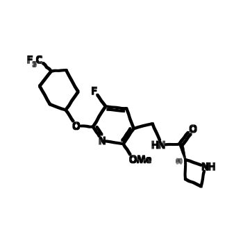 COc1nc(OC2CCC(C(F)(F)F)CC2)c(F)cc1CNC(=O)[C@@H]1CCN1